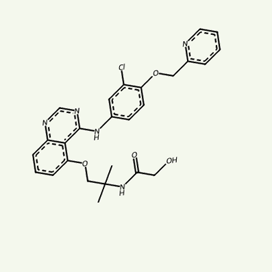 CC(C)(COc1cccc2ncnc(Nc3ccc(OCc4ccccn4)c(Cl)c3)c12)NC(=O)CO